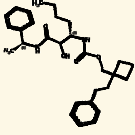 CCCC[C@H](NC(=O)OCC1(CCc2ccccc2)CCC1)C(O)C(=O)N[C@H](C)c1ccccc1